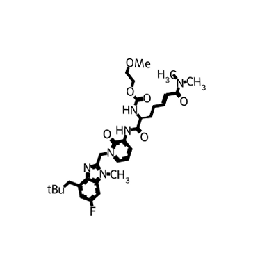 COCCOC(=O)N[C@@H](CC/C=C/C(=O)N(C)C)C(=O)Nc1cccn(Cc2nc3c(CC(C)(C)C)cc(F)cc3n2C)c1=O